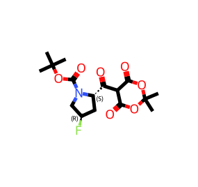 CC(C)(C)OC(=O)N1C[C@H](F)C[C@H]1C(=O)C1C(=O)OC(C)(C)OC1=O